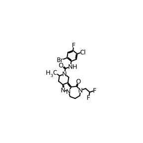 CC1Cc2nn3c(c2CN1C(=O)Nc1cc(Cl)c(F)cc1Br)C(=O)N(CC(F)F)CCC3